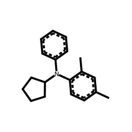 Cc1ccc(N(c2ccccc2)C2CCCC2)c(C)c1